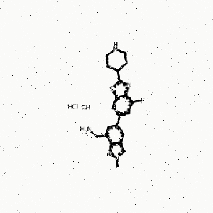 Cl.Cl.Cn1cc2cc(-c3cc(F)c4nc(C5CCNCC5)sc4c3)cc(CN)c2n1